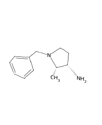 C[C@H]1[C@@H](N)CCN1Cc1ccccc1